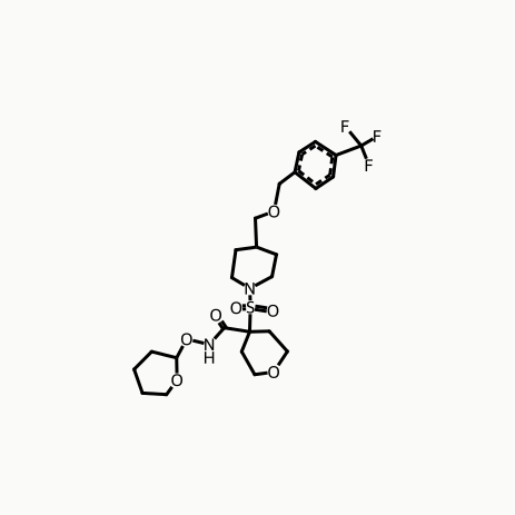 O=C(NOC1CCCCO1)C1(S(=O)(=O)N2CCC(COCc3ccc(C(F)(F)F)cc3)CC2)CCOCC1